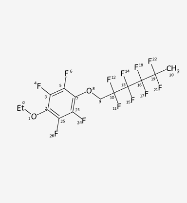 CCOc1c(F)c(F)c(OCC(F)(F)C(F)(F)C(F)(F)C(C)(F)F)c(F)c1F